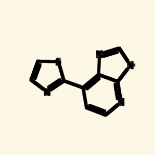 C1=Nc2c(-c3nccs3)ccnc2[N]1